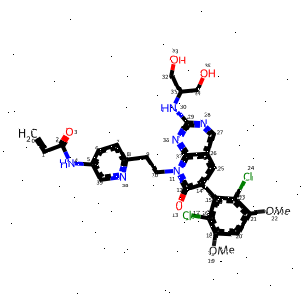 C=CC(=O)Nc1ccc(CCn2c(=O)c(-c3c(Cl)c(OC)cc(OC)c3Cl)cc3cnc(NC(CO)CO)nc32)nc1